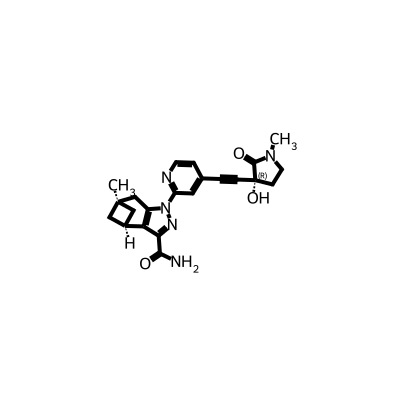 CN1CC[C@@](O)(C#Cc2ccnc(-n3nc(C(N)=O)c4c3C[C@]3(C)C[C@H]4C3)c2)C1=O